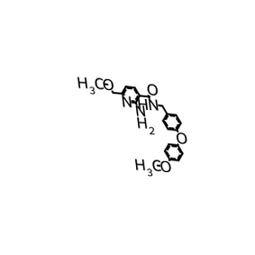 COCc1ccc(C(=O)NCc2ccc(Oc3ccc(OC)cc3)cc2)c(N)n1